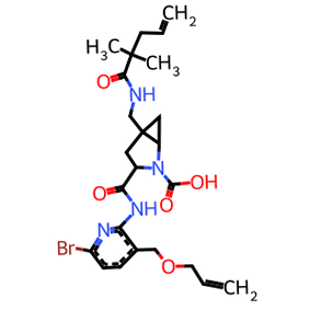 C=CCOCc1ccc(Br)nc1NC(=O)C1CC2(CNC(=O)C(C)(C)CC=C)CC2N1C(=O)O